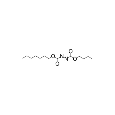 CCCCCCCOC(=O)N=NC(=O)OCCCC